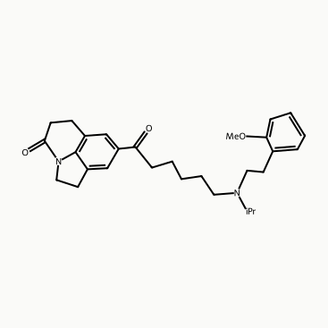 COc1ccccc1CCN(CCCCCC(=O)c1cc2c3c(c1)CCN3C(=O)CC2)C(C)C